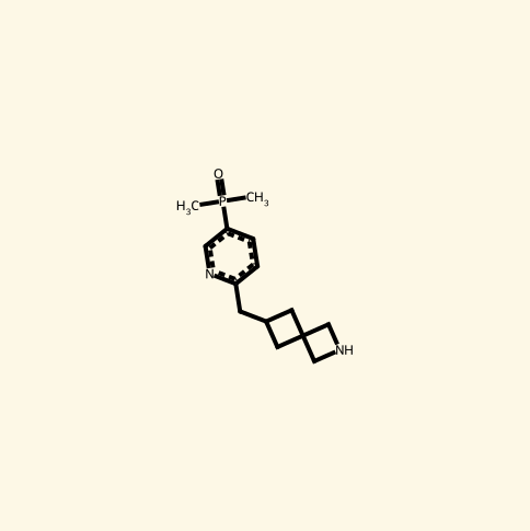 CP(C)(=O)c1ccc(CC2CC3(CNC3)C2)nc1